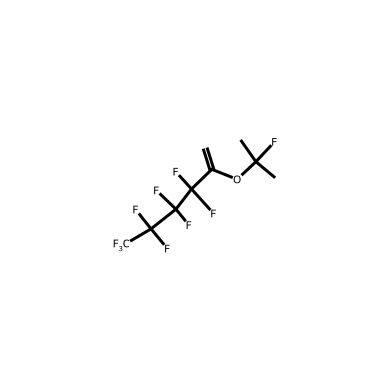 C=C(OC(C)(C)F)C(F)(F)C(F)(F)C(F)(F)C(F)(F)F